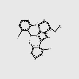 Fc1cccc(F)c1Cn1c(-c2c(F)cccc2F)nc2c(CCl)cccc21